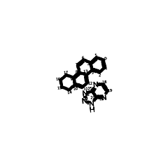 c1ccc2c(c1)ccc1c3c(ccc12)CCCC3.c1cnc2[nH]nnc2n1